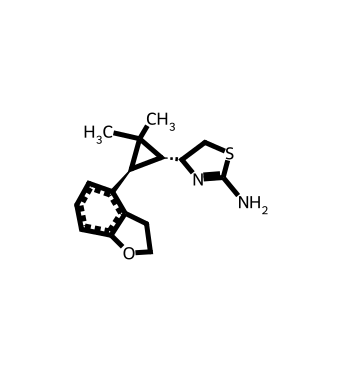 CC1(C)[C@H](c2cccc3c2CCO3)[C@H]1C1CSC(N)=N1